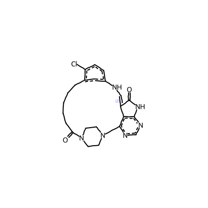 O=C1Nc2ncnc3c2/C1=C/Nc1ccc(Cl)c(c1)CCCCCC(=O)N1CCN3CC1